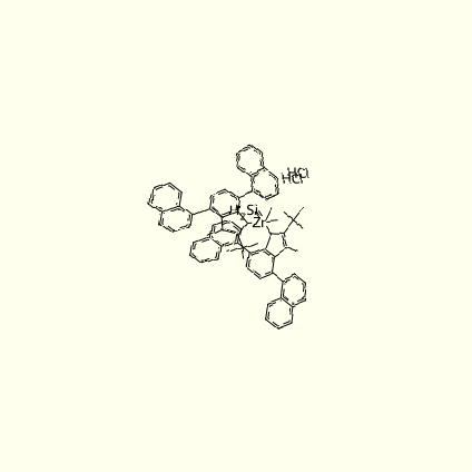 CC1=C(C(C)(C)C)[CH]([Zr]([CH3])([CH3])(=[SiH2])[CH]2C(C(C)(C)C)=C(C)c3c(-c4cccc5ccccc45)ccc(-c4cccc5ccccc45)c32)c2c(-c3cccc4ccccc34)ccc(-c3cccc4ccccc34)c21.Cl.Cl